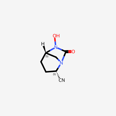 N#C[C@@H]1CC[C@H]2CN1C(=O)N2O